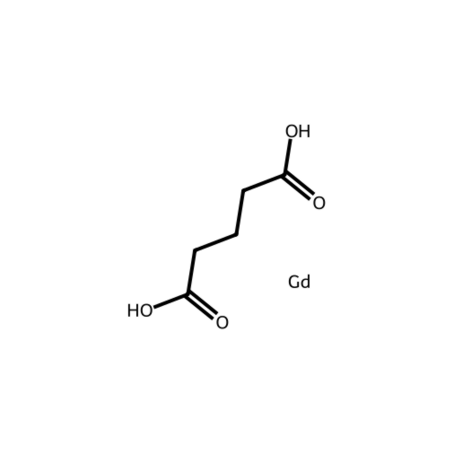 O=C(O)CCCC(=O)O.[Gd]